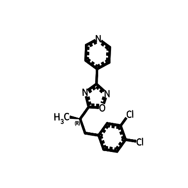 C[C@H](Cc1ccc(Cl)c(Cl)c1)c1nc(-c2ccncc2)no1